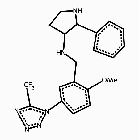 COc1ccc(-n2nnnc2C(F)(F)F)cc1CNC1CCNC1c1ccccc1